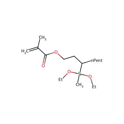 C=C(C)C(=O)OCCC(CCCCC)[Si](C)(OCC)OCC